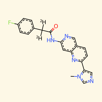 [2H]C([2H])(C(=O)Nc1cc2nc(-c3cncn3C)ccc2cn1)c1ccc(F)cc1